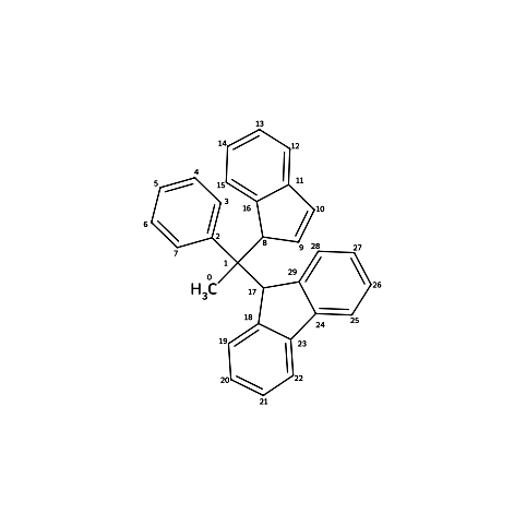 CC(c1ccccc1)(C1C=Cc2ccccc21)C1c2ccccc2-c2ccccc21